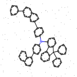 c1ccc(-c2ccc3ccc(-c4ccc(N(c5ccc(-c6cccc7ccccc67)cc5)c5cccc6c5-c5ccccc5C6(c5ccccc5)c5ccccc5)cc4)cc3c2)cc1